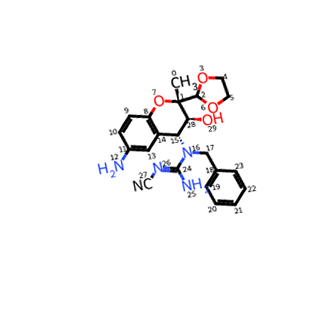 C[C@]1(C2OCCO2)Oc2ccc(N)cc2[C@@H](N(Cc2ccccc2)C(N)=NC#N)[C@@H]1O